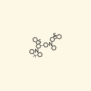 CC1(C)c2ccccc2N(c2cc(-c3ccc(N(c4ccccc4)c4ccc5sc6ccccc6c5c4)cc3)c3sc4ccccc4c3c2)c2ccccc21